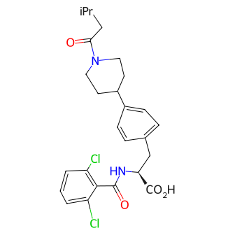 CC(C)CC(=O)N1CCC(c2ccc(C[C@H](NC(=O)c3c(Cl)cccc3Cl)C(=O)O)cc2)CC1